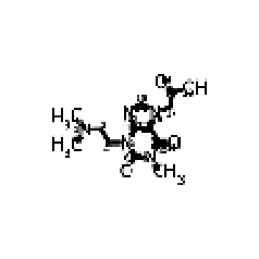 CN(C)CCn1c(=O)n(C)c(=O)c2c1ncn2CC(=O)O